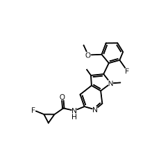 COc1cccc(F)c1-c1c(C)c2cc(NC(=O)C3CC3F)ncc2n1C